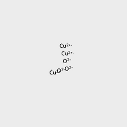 [Cu+2].[Cu+2].[Cu+2].[O-2].[O-2].[O-2]